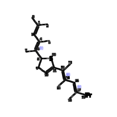 CC(C)=C/C(C)=C(\C)C1CC=C(/C(C)=C(C)/C=C(\C)C(C)C)S1